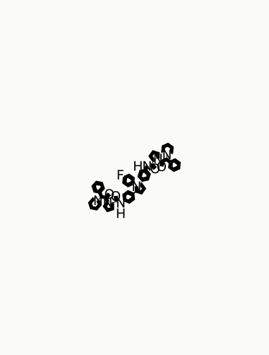 O=C(Nc1ccc([C@@H]2CC[C@@H](C3=CCC(NC(=O)[C@@H]4CCCN4C(=O)[C@@H](c4ccccc4)N4CCCCC4)C=C3)N2c2ccc(F)cc2)cc1)[C@@H]1CCCN1C(=O)[C@@H](c1ccccc1)N1CCCCC1